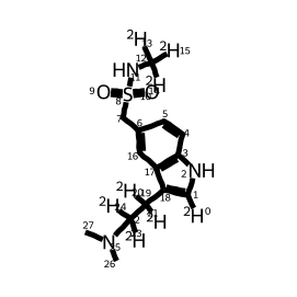 [2H]c1[nH]c2ccc(CS(=O)(=O)NC([2H])([2H])[2H])cc2c1C([2H])([2H])C([2H])([2H])N(C)C